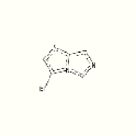 Brc1csc2cncn12